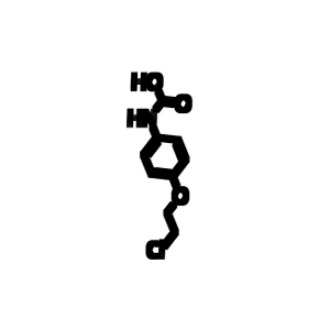 O=C(O)Nc1ccc(OCCCl)cc1